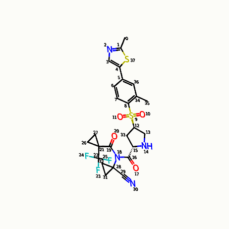 Cc1ncc(-c2ccc(S(=O)(=O)[C@H]3CN[C@H](C(=O)N(C(=O)C4(C(F)(F)F)CC4)C4(C#N)CC4)C3)c(C)c2)s1